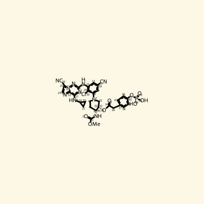 COC(=O)N[C@@H]1CCN(c2cc(C#N)cc(Nc3nc(NC4CC4)c4ncc(C#N)n4n3)c2Cl)C[C@@H]1OC(=O)Cc1ccc(OP(=O)(O)O)cc1